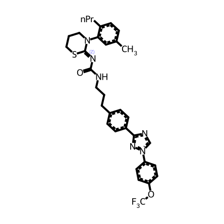 CCCc1ccc(C)cc1N1CCCS/C1=N\C(=O)NCCCc1ccc(-c2ncn(-c3ccc(OC(F)(F)F)cc3)n2)cc1